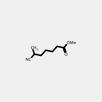 COC(=O)CCCCC(C)C#N